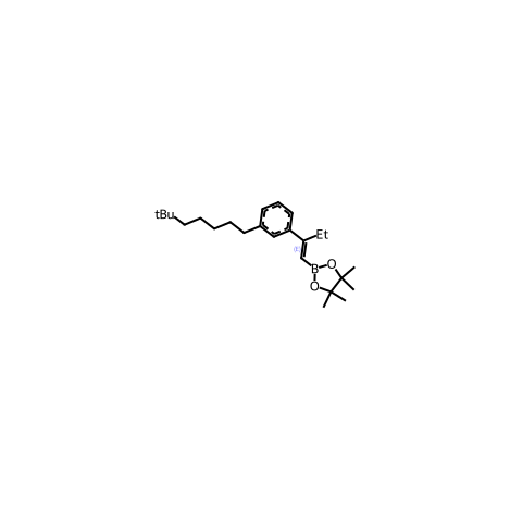 CC/C(=C\B1OC(C)(C)C(C)(C)O1)c1cccc(CCCCCC(C)(C)C)c1